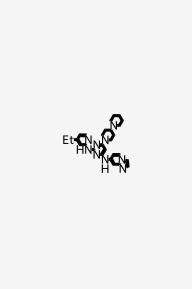 CCc1ccnc(Nc2nc(Nc3ccn4ccnc4c3)cc(N3CCC(N4CCCCC4)CC3)n2)c1